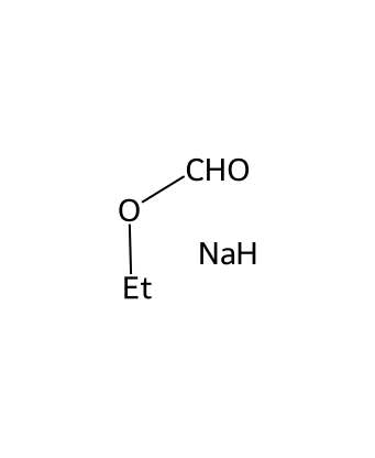 CCOC=O.[NaH]